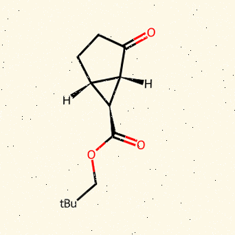 CC(C)(C)COC(=O)[C@H]1[C@@H]2CCC(=O)[C@@H]21